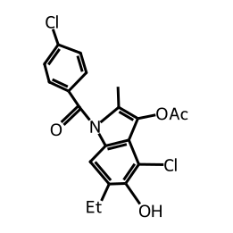 CCc1cc2c(c(Cl)c1O)c(OC(C)=O)c(C)n2C(=O)c1ccc(Cl)cc1